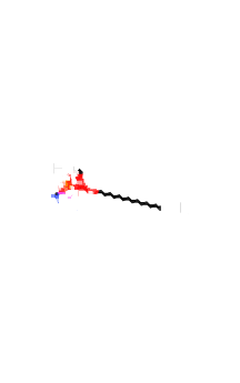 CCCCCCCCCCCCCCCCOCC(COP(=O)(O)OCCN)OC(=O)CC